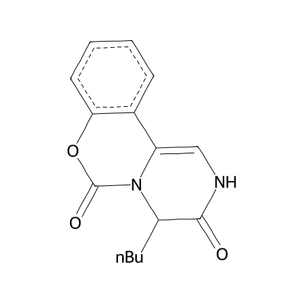 CCCCC1C(=O)NC=C2c3ccccc3OC(=O)N21